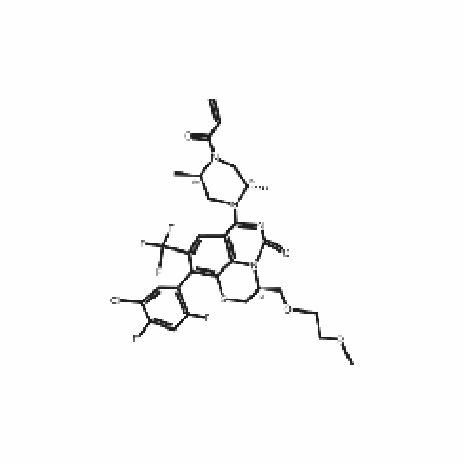 C=CC(=O)N1C[C@H](C)N(c2nc(=O)n3c4c(c(-c5cc(Cl)c(F)cc5F)c(C(F)(F)F)cc24)SC[C@@H]3COCCOC)C[C@H]1C